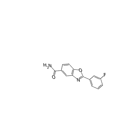 NC(=O)c1ccc2oc(-c3cccc(F)c3)nc2c1